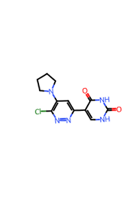 O=c1[nH]cc(-c2cc(N3CCCC3)c(Cl)nn2)c(=O)[nH]1